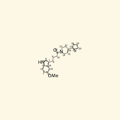 COc1ccc2[nH]cc(CCCC(=O)N3CC=C(c4cccs4)CC3)c2c1